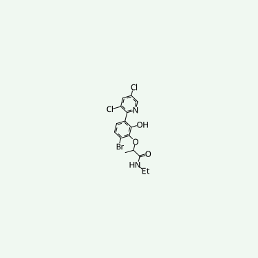 CCNC(=O)C(C)Oc1c(Br)ccc(-c2ncc(Cl)cc2Cl)c1O